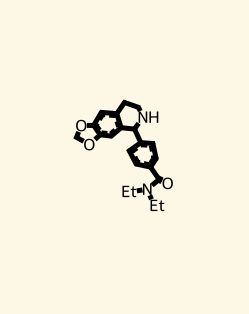 CCN(CC)C(=O)c1ccc(C2NCCc3cc4c(cc32)OCO4)cc1